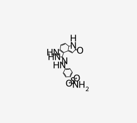 NS(=O)(=O)c1ccc(NN=c2[nH][nH]c3c2C2=CC(=O)NC2C=C3)cc1